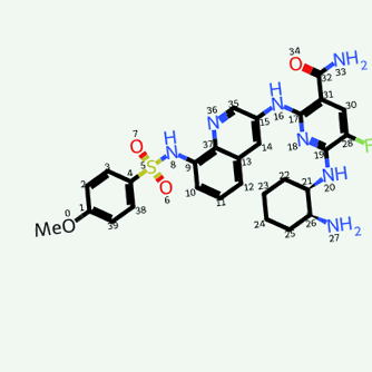 COc1ccc(S(=O)(=O)Nc2cccc3cc(Nc4nc(N[C@@H]5CCCC[C@@H]5N)c(F)cc4C(N)=O)cnc23)cc1